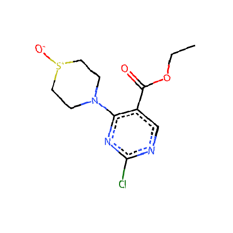 CCOC(=O)c1cnc(Cl)nc1N1CC[S+]([O-])CC1